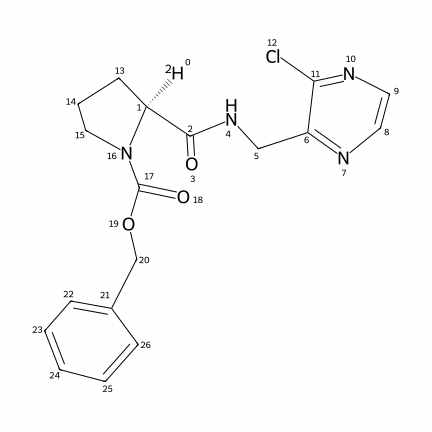 [2H][C@@]1(C(=O)NCc2nccnc2Cl)CCCN1C(=O)OCc1ccccc1